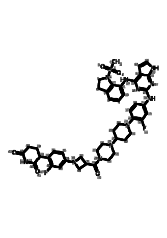 CS(=O)(=O)N1CCc2cccc(Nc3nc(Nc4ccc(N5CCC(N6CCN(C(=O)C7CN(c8ccc(C9CCC(=O)NC9=O)c(F)c8)C7)CC6)CC5)c(F)c4)nc4[nH]ccc34)c21